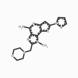 Cn1c(CN2CCOCC2)nc2c(N)nc3cc(-n4cccn4)sc3c21